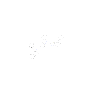 c1ccc2c(c1)ccc1c2c2ccccc2n1-c1ccc2c(c1)c1ccccc1n2-c1nc2ccc3oc4ccccc4c3c2s1